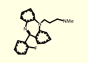 CNCCCN1c2ccccc2N=C(c2ccccc2F)c2ccccc21